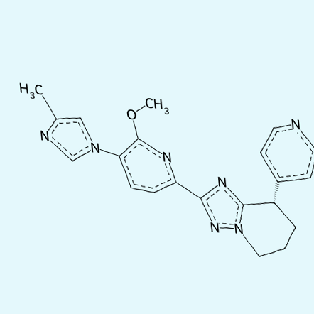 COc1nc(-c2nc3n(n2)CCC[C@H]3c2ccncc2)ccc1-n1cnc(C)c1